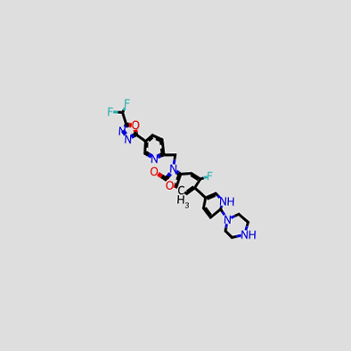 C/C=C(C1=CNC(N2CCNCC2)C=C1)\C(F)=C/c1coc(=O)n1Cc1ccc(-c2nnc(C(F)F)o2)cn1